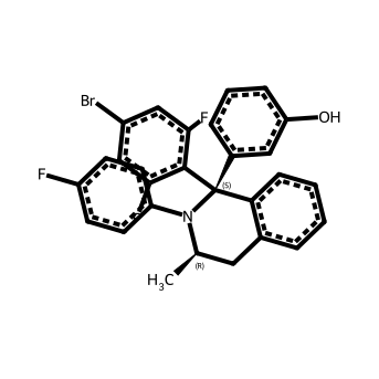 C[C@@H]1Cc2ccccc2[C@@](c2cccc(O)c2)(c2c(F)cc(Br)cc2F)N1c1ccc(F)cc1